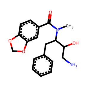 CN(C(=O)c1ccc2c(c1)OCO2)C(Cc1ccccc1)C(O)CN